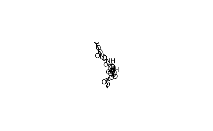 CCOC(=O)C(C)(C)COS(=O)(=O)ON1C(=O)N2C[C@H]1CC[C@H]2C(=O)NC1CCN(C(=O)OCOCC(C)C)CC1